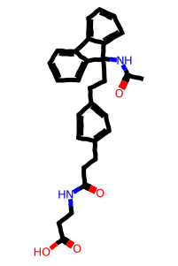 CC(=O)NC1(CCc2ccc(CCC(=O)NCCC(=O)O)cc2)c2ccccc2-c2ccccc21